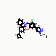 Cn1cc(-c2ccc(CN3C(=O)C4(CCN(C5CCC5)CC4)c4ccccc43)c(F)c2)cn1